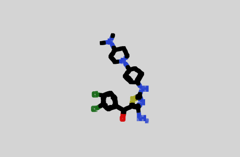 CN(C)C1CCN(C2C=CC(Nc3nc(N)c(C(=O)c4ccc(Cl)c(Cl)c4)s3)=CC2)CC1